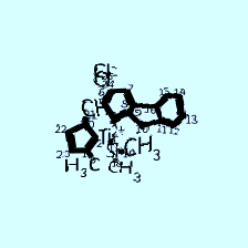 CC1=[C]([Ti+2]([c]2cccc3c2Cc2ccccc2-3)=[Si](C)C)C(C)C=C1.[Cl-].[Cl-]